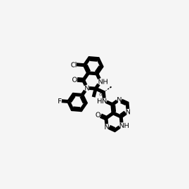 C[C@H](Nc1ncnc2[nH]cnc(=O)c12)C1(C)Nc2cccc(Cl)c2C(=O)N1c1cccc(F)c1